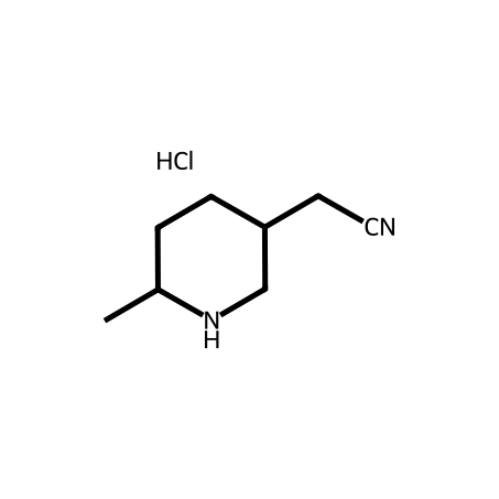 CC1CCC(CC#N)CN1.Cl